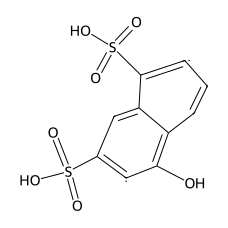 O=S(=O)(O)c1[c]c(O)c2cc[c]c(S(=O)(=O)O)c2c1